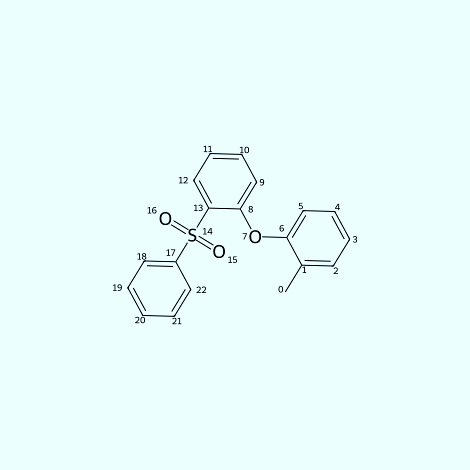 Cc1ccccc1Oc1ccccc1S(=O)(=O)c1ccccc1